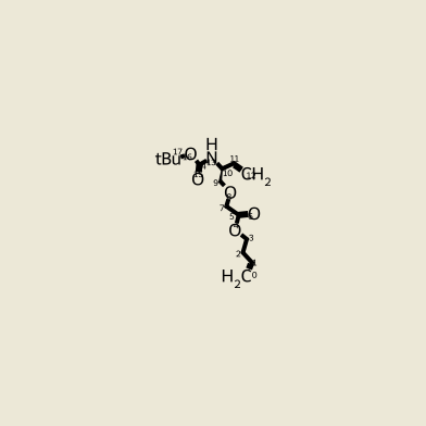 C=CCCOC(=O)COC[C@H](C=C)NC(=O)OC(C)(C)C